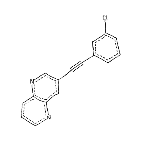 Clc1cccc(C#Cc2cnc3cccnc3c2)c1